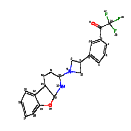 O=C(c1cccc(C2CN(C3CCC4c5ccccc5OC4N3)C2)c1)C(F)(F)F